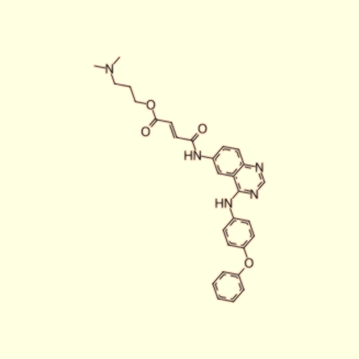 CN(C)CCCOC(=O)/C=C/C(=O)Nc1ccc2ncnc(Nc3ccc(Oc4ccccc4)cc3)c2c1